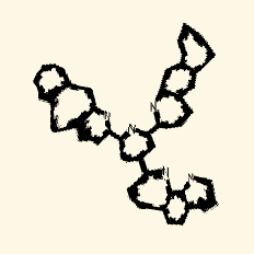 c1ccc2cc3nc(-c4cc(-c5ccc6ccc7cccnc7c6n5)cc(-c5ccc6cc7ccccc7cc6n5)n4)ccc3cc2c1